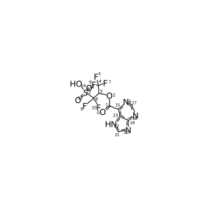 O=C(OC(C(F)(F)F)C(F)(F)S(=O)(=O)O)c1ncnc2nc[nH]c12